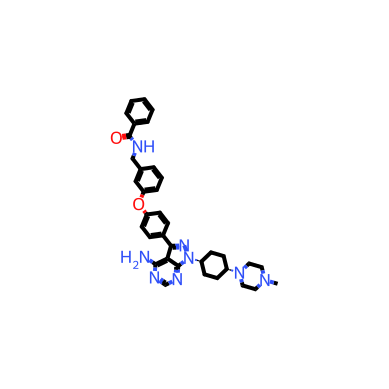 CN1CCN([C@H]2CC[C@@H](n3nc(-c4ccc(Oc5cccc(CNC(=O)c6ccccc6)c5)cc4)c4c(N)ncnc43)CC2)CC1